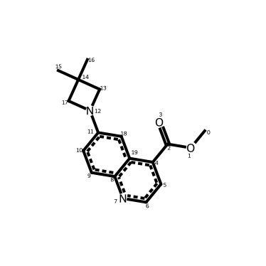 COC(=O)c1ccnc2ccc(N3CC(C)(C)C3)cc12